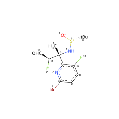 CC(C)(C)[S@@+]([O-])N[C@](C)(c1nc(Br)ccc1F)[C@@H](F)C=O